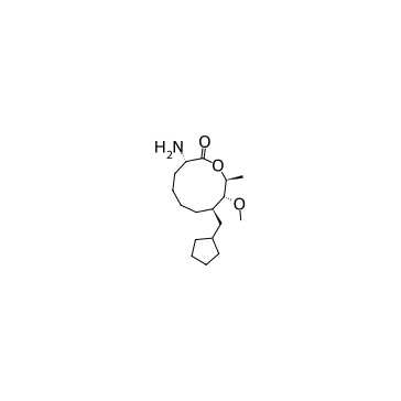 CO[C@@H]1[C@@H](CC2CCCC2)CCCC[C@H](N)C(=O)O[C@H]1C